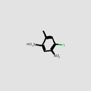 Cc1cc(Cl)c([N+](=O)[O-])cc1S(=O)(=O)O